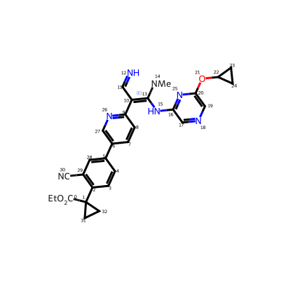 CCOC(=O)C1(c2ccc(-c3ccc(/C(C=N)=C(/NC)Nc4cncc(OC5CC5)n4)nc3)cc2C#N)CC1